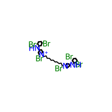 Brc1ccc(Br)c(Nc2cc[n+](C(Br)CCCCCCCCCC(Br)[n+]3ccc(Nc4cc(Br)ccc4Br)cc3)cc2)c1